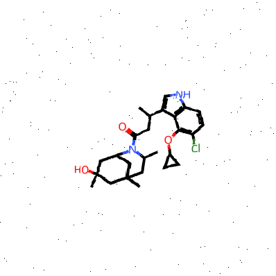 CC(CC(=O)N1C(C)CC2(C)CC1CC(C)(O)C2)c1c[nH]c2ccc(Cl)c(OC3CC3)c12